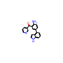 Nc1ccc(-c2cccc3[nH]ccc23)cc1C(=O)c1cccnc1